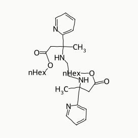 CCCCCCOC(=O)CC(C)(NCCNC(C)(CC(=O)OCCCCCC)c1ccccn1)c1ccccn1